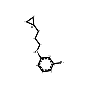 Fc1[c]ccc(OCCCC2CC2)c1